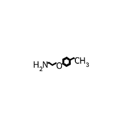 CCc1ccc(OCCCN)cc1